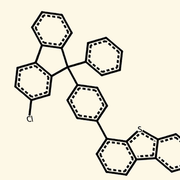 Clc1ccc2c(c1)C(c1ccccc1)(c1ccc(-c3cccc4c3sc3ccccc34)cc1)c1ccccc1-2